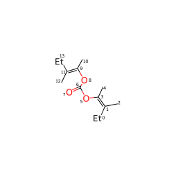 CCC(C)=C(C)OC(=O)OC(C)=C(C)CC